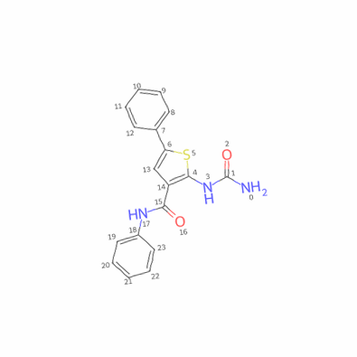 NC(=O)Nc1sc(-c2ccccc2)cc1C(=O)Nc1ccccc1